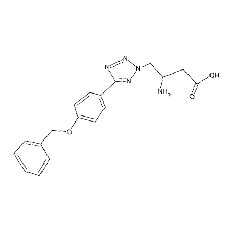 NC(CC(=O)O)Cn1nnc(-c2ccc(OCc3ccccc3)cc2)n1